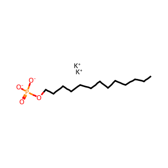 CCCCCCCCCCCCCOP(=O)([O-])[O-].[K+].[K+]